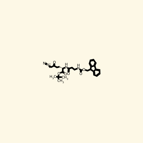 CC(C)(C)OC(=O)[C@H](CCC(=O)C=[N+]=[N-])NC(=O)CCNC(=O)OCC1c2ccccc2-c2ccccc21